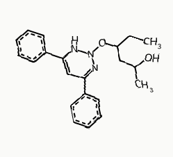 CCC(CC(C)O)ON1N=C(c2ccccc2)C=C(c2ccccc2)N1